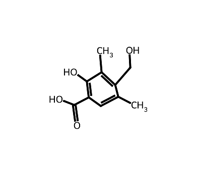 Cc1cc(C(=O)O)c(O)c(C)c1CO